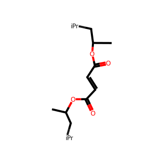 CC(C)CC(C)OC(=O)C=CC(=O)OC(C)CC(C)C